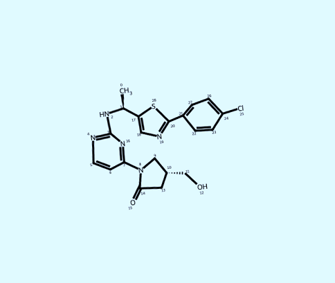 C[C@H](Nc1nccc(N2C[C@H](CO)CC2=O)n1)c1cnc(-c2ccc(Cl)cc2)s1